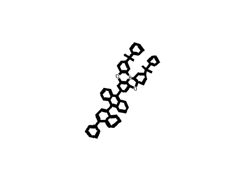 CC(C)(c1ccccc1)c1ccc2c(c1)B1c3cc(C(C)(C)c4ccccc4)ccc3Oc3cc(-c4c5ccccc5c(-c5ccc(-c6ccccc6)c6ccccc56)c5ccccc45)cc(c31)O2